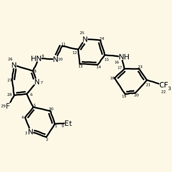 CCc1cncc(-c2nc(N/N=C/c3ccc(Nc4cccc(C(F)(F)F)c4)cn3)ncc2F)c1